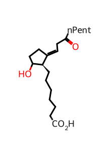 CCCCCC(=O)CC=C1CCC(O)[C@@H]1CCCCCCC(=O)O